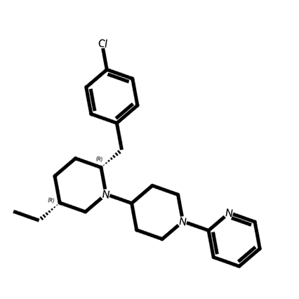 CC[C@@H]1CC[C@H](Cc2ccc(Cl)cc2)N(C2CCN(c3ccccn3)CC2)C1